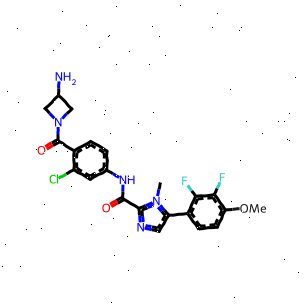 COc1ccc(-c2cnc(C(=O)Nc3ccc(C(=O)N4CC(N)C4)c(Cl)c3)n2C)c(F)c1F